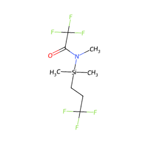 CN(C(=O)C(F)(F)F)[Si](C)(C)CCC(F)(F)F